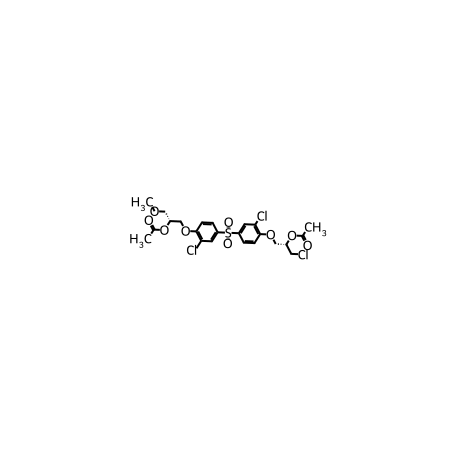 COC[C@H](COc1ccc(S(=O)(=O)c2ccc(OC[C@@H](CCl)OC(C)=O)c(Cl)c2)cc1Cl)OC(C)=O